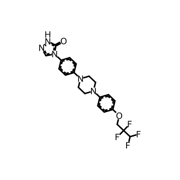 O=c1[nH]ncn1-c1ccc(N2CCN(c3ccc(OCC(F)(F)C(F)F)cc3)CC2)cc1